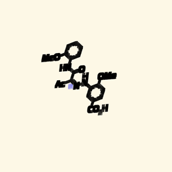 COc1ccc(C(=O)O)cc1N/N=C(/C(C)=O)C(=O)Nc1ccccc1OC